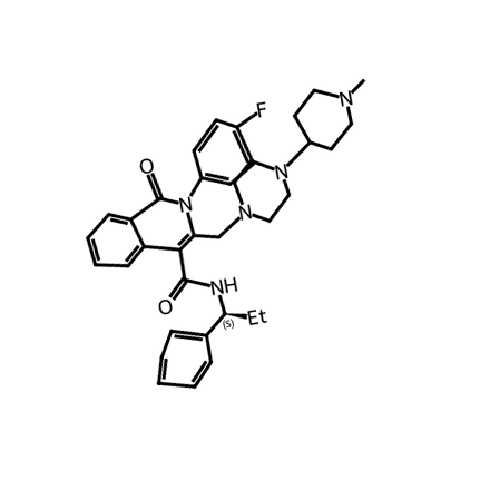 CC[C@H](NC(=O)c1c(CN2CCN(C3CCN(C)CC3)CC2)n(-c2ccc(F)cc2)c(=O)c2ccccc12)c1ccccc1